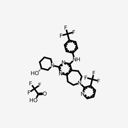 O=C(O)C(F)(F)F.O[C@@H]1CCCN(c2nc3c(c(Nc4ccc(C(F)(F)F)cc4)n2)CCN(c2ncccc2C(F)(F)F)CC3)C1